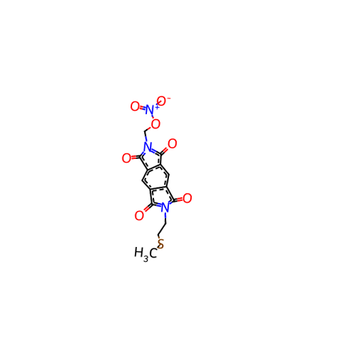 CSCCn1c(=O)c2cc3c(=O)n(CO[N+](=O)[O-])c(=O)c3cc2c1=O